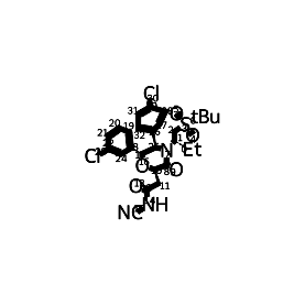 CC[C@@H](CS(=O)(=O)C(C)(C)C)N1C(=O)[C@@H](CC(=O)NC#N)O[C@H](c2cccc(Cl)c2)[C@H]1c1ccc(Cl)cc1